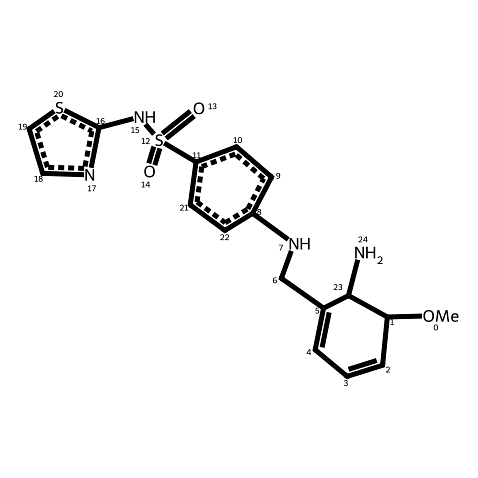 COC1C=CC=C(CNc2ccc(S(=O)(=O)Nc3nccs3)cc2)C1N